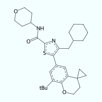 CC(C)(C)c1cc(-c2sc(C(=O)NC3CCOCC3)nc2CC2CCCCC2)cc2c1OCCC21CC1